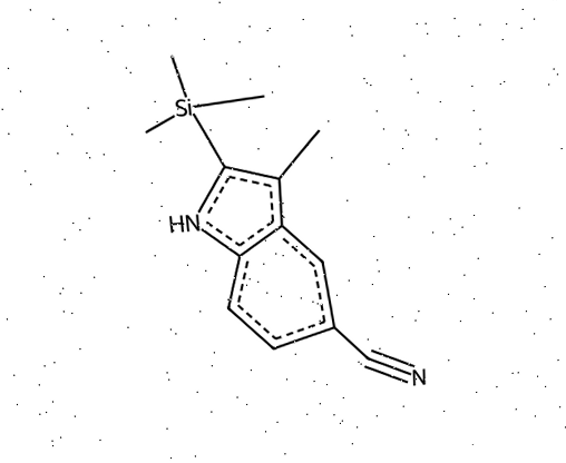 Cc1c([Si](C)(C)C)[nH]c2ccc(C#N)cc12